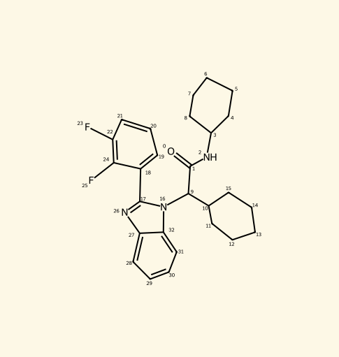 O=C(NC1CCCCC1)C(C1CCCCC1)n1c(-c2cccc(F)c2F)nc2ccccc21